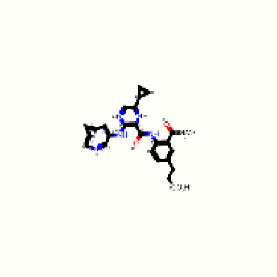 CNC(=O)c1cc(CCC(=O)O)ccc1NC(=O)c1nc(C2CC2)cnc1NC1=C/C=C/C=C/N=C\1